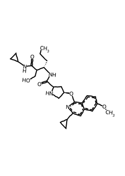 CCC[C@H](NC(=O)C1C[C@@H](Oc2nc(C3CC3)cc3cc(OC)ccc23)CN1)C(CO)C(=O)NC1CC1